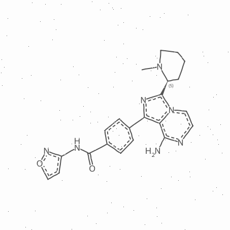 CN1CCCC[C@H]1c1nc(-c2ccc(C(=O)Nc3ccon3)cc2)c2c(N)nccn12